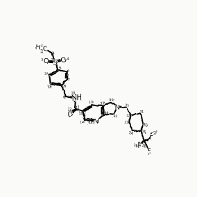 CCS(=O)(=O)c1ccc(CNC(=O)c2cnc3c(c2)CN(CC2CCC(C(F)(F)F)CC2)C3)cc1